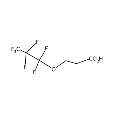 O=C(O)CCOC(F)(F)C(F)(F)C(F)(F)F